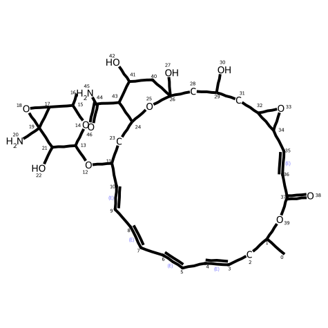 CC1C/C=C/C=C/C=C/C=C/C(OC2OC(C)C3OC3(N)C2O)CC2OC(O)(CC(O)CC3OC3/C=C/C(=O)O1)CC(O)C2C(N)=O